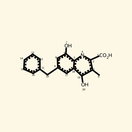 Cc1c(C(=O)O)nc2c(O)cc(Cc3ccccc3)cc2c1O